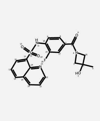 CC1(O)CN(C(=O)c2ccc(NS(=O)(=O)c3cccc4cccnc34)c(F)c2)C1